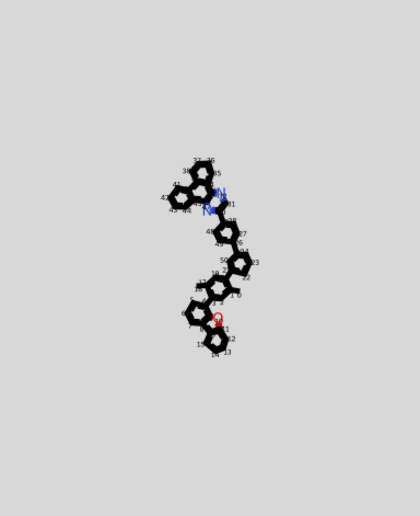 Cc1cc(-c2cccc3c2oc2ccccc23)c(C)cc1-c1cccc(-c2ccc(-c3cnc4c5ccccc5c5ccccc5c4n3)cc2)c1